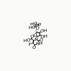 O=C(O)c1c(F)c(=O)[nH]c(=O)n1[C@@H]1O[C@H](COP(=O)(O)O)[C@@H](O)[C@H]1O